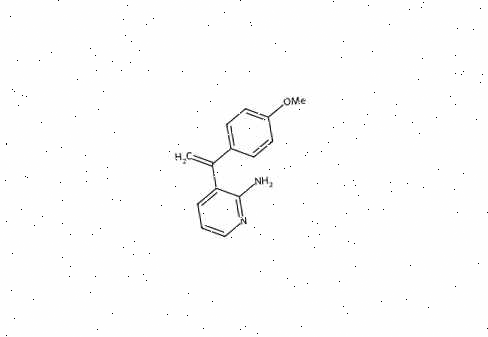 C=C(c1ccc(OC)cc1)c1cccnc1N